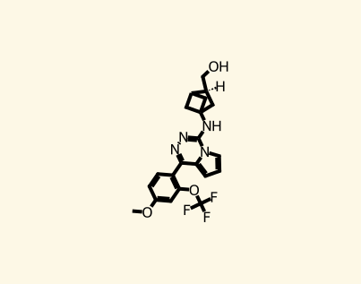 COc1ccc(-c2nnc(NC34CC(C3)[C@@H](CO)C4)n3cccc23)c(OC(F)(F)F)c1